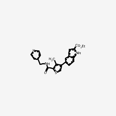 CCOC(=O)c1cc2cc(-c3csc(C(=O)NCc4ccncc4)c3C)ccc2[nH]1